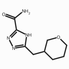 NC(=O)c1nnc(CC2CCCOC2)[nH]1